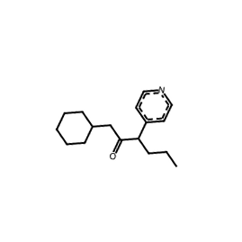 CCCC(C(=O)CC1CCCCC1)c1ccncc1